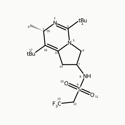 C[C@@H]1N=C(C(C)(C)C)N2CC(NS(=O)(=O)CC(F)(F)F)CC2=C1C(C)(C)C